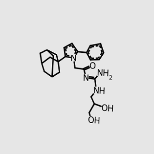 N/C(=N\C(=O)Cn1c(-c2ccccc2)ccc1C12CC3CC(CC(C3)C1)C2)NCC(O)CO